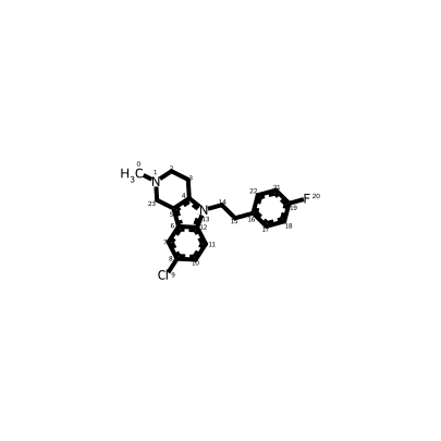 CN1CCc2c(c3cc(Cl)ccc3n2CCc2ccc(F)cc2)C1